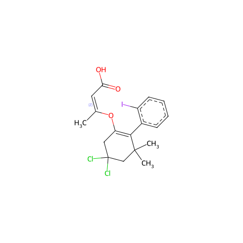 C/C(=C/C(=O)O)OC1=C(c2ccccc2I)C(C)(C)CC(Cl)(Cl)C1